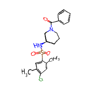 Cc1cc(S(=O)(=O)N[C@@H]2CCCN(C(=O)c3ccccc3)C2)c(C)cc1Cl